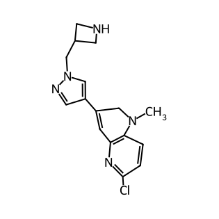 CN1CC(c2cnn(CC3CNC3)c2)=Cc2nc(Cl)ccc21